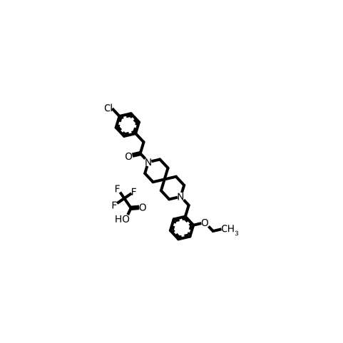 CCOc1ccccc1CN1CCC2(CC1)CCN(C(=O)Cc1ccc(Cl)cc1)CC2.O=C(O)C(F)(F)F